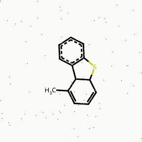 CC1=CC=CC2Sc3ccccc3C12